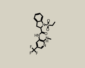 CCS(=O)(=O)N1c2ccccc2CC1C(=O)Nc1cc(C(F)(F)F)cnc1NC